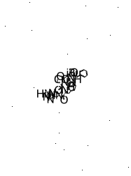 CC[C@H](C)[C@H](NC(=O)Cc1ccccc1)C(=O)N[C@@H](CC(=O)O)C(=O)N1c2ccccc2C[C@H]1C(=O)NCc1nn[nH]n1